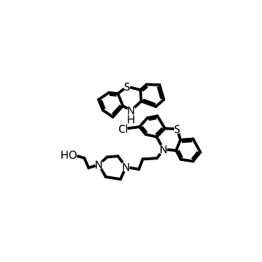 OCCN1CCN(CCCN2c3ccccc3Sc3ccc(Cl)cc32)CC1.c1ccc2c(c1)Nc1ccccc1S2